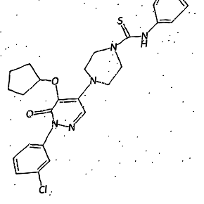 O=c1c(OC2CCCC2)c(N2CCN(C(=S)Nc3ccccc3)CC2)cnn1-c1cccc(Cl)c1